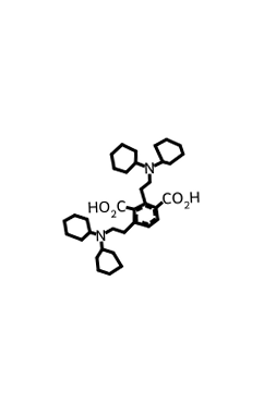 O=C(O)c1ccc(CCN(C2CCCCC2)C2CCCCC2)c(C(=O)O)c1CCN(C1CCCCC1)C1CCCCC1